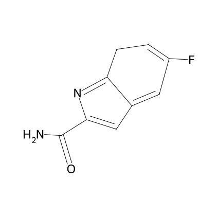 NC(=O)C1=CC2=CC(F)=CCC2=N1